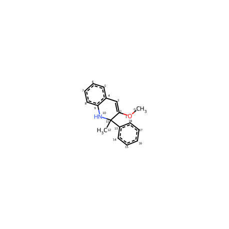 COC1=Cc2ccccc2NC1(C)c1ccccc1